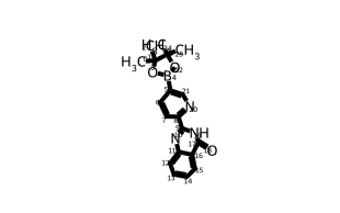 CC1(C)OB(c2ccc(-c3nc4ccccc4c(=O)[nH]3)nc2)OC1(C)C